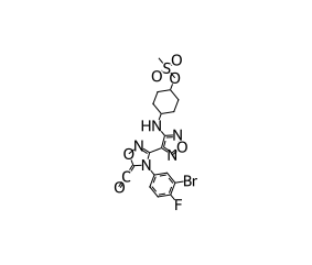 CS(=O)(=O)OC1CCC(Nc2nonc2C2=NOC(=C=O)N2c2ccc(F)c(Br)c2)CC1